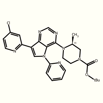 C[C@H]1CN(C(=O)OC(C)(C)C)CCN1c1ncnc2c(-c3cc(Cl)ccn3)cn(-c3ccccn3)c12